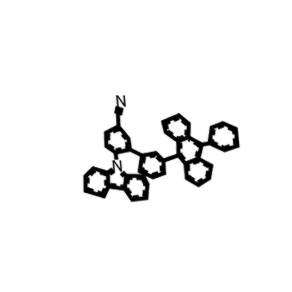 N#Cc1ccc(-n2c3ccccc3c3ccccc32)c(-c2cccc(-c3c4ccccc4c(-c4ccccc4)c4ccccc34)c2)c1